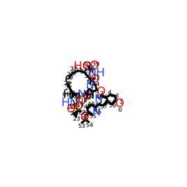 COc1ccc2c(O[C@@H]3C[C@H]4C(=O)N[C@]5(C(=O)NS(=O)(=O)C6(C)CC6)C[C@H]5/C=C\CC[C@H](C)C[C@@H](C)[C@H](NC(=O)O)C(=O)N4C3)nc(-c3ccc(OC(C)C)cn3)cc2c1